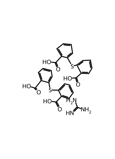 N=C(N)N.O=C(O)c1ccccc1Sc1ccccc1C(=O)O.O=C(O)c1ccccc1Sc1ccccc1C(=O)O